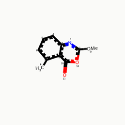 COc1nc2cccc(C)c2c(=O)o1